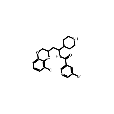 O=C(NC(CC1COc2cccc(Cl)c2O1)C1CCNCC1)c1cncc(Br)c1